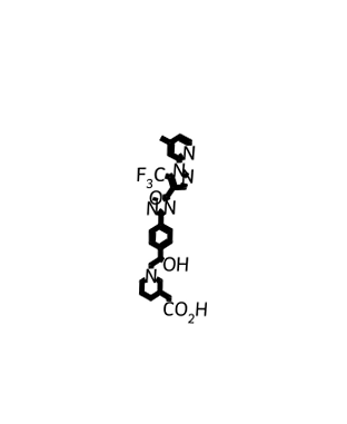 Cc1ccnc(-n2ncc(-c3nc(-c4ccc(C(O)CN5CCCC(CC(=O)O)C5)cc4)no3)c2C(F)(F)F)c1